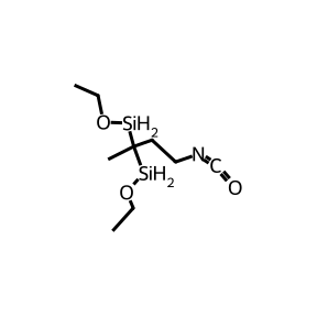 CCO[SiH2]C(C)(CCN=C=O)[SiH2]OCC